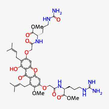 COC(=O)[C@H](CCCNC(N)=O)NC(=O)COc1cc2oc3cc(OCC(=O)N[C@@H](CCCNC(=N)N)C(=O)OC)c(OC)c(CC=C(C)C)c3c(=O)c2c(O)c1CC=C(C)C